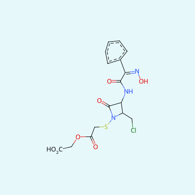 O=C(O)COC(=O)CSN1C(=O)C(NC(=O)/C(=N\O)c2ccccc2)C1CCl